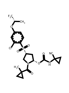 C[C@H](Oc1ccc(S(=O)(=O)[C@@H]2C[C@H](OC(=O)NC3(C#N)CC3)N(C(=O)C3(C)CC3)C2)c(Cl)c1)C(F)(F)F